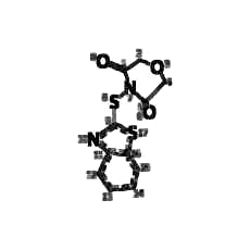 O=C1COCC(=O)N1Sc1nc2ccccc2s1